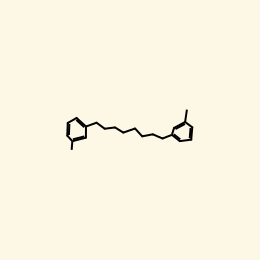 Cc1cccc(CCCCCCCCc2cccc(C)c2)c1